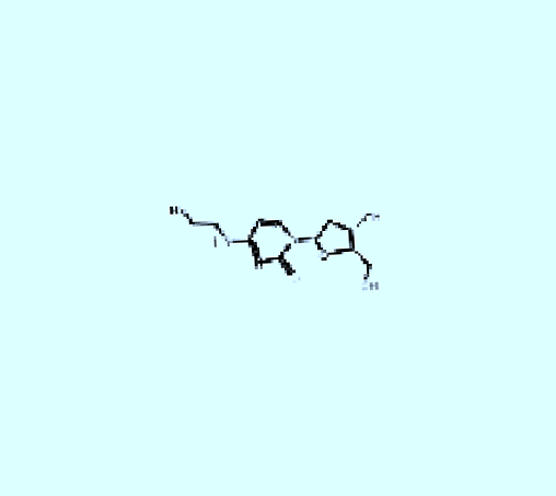 O=c1nc(NCCS)ccn1[C@H]1C[C@H](O)[C@@H](CO)O1